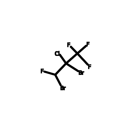 FC(Br)C(Cl)(Br)C(F)(F)F